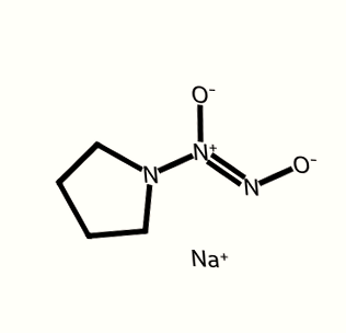 [Na+].[O-]N=[N+]([O-])N1CCCC1